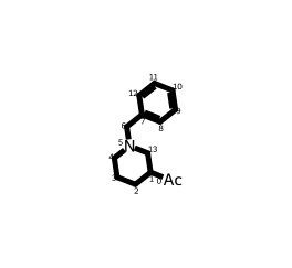 CC(=O)C1CCCN(Cc2ccccc2)C1